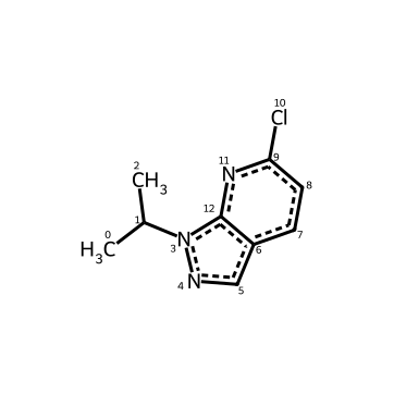 CC(C)n1ncc2ccc(Cl)nc21